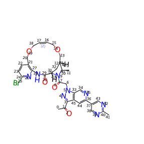 CC(=O)c1nn(CC(=O)N2[C@H](C)[C@H]3COC/C=C\COCc4ccc(Br)nc4NC(=O)[C@@H]2C3)c2cnc(-c3cnc(C)nc3)cc12